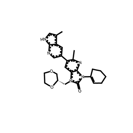 Cc1nc2c(cc1-c1cnc3[nH]cc(C)c3c1)n(C[C@H]1COCCO1)c(=O)n2C1=CCCCC1